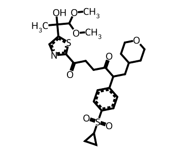 COC(OC)C(C)(O)c1cnc(C(=O)CCC(=O)C(CC2CCOCC2)c2ccc(S(=O)(=O)C3CC3)cc2)s1